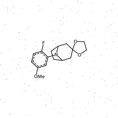 COc1ccc(F)c(N2C3CCC2CC2(C3)OCCO2)c1